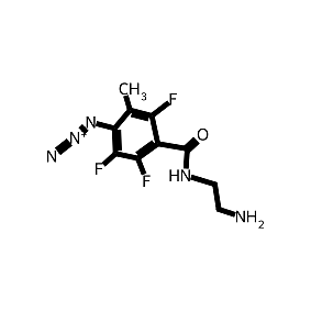 Cc1c(F)c(C(=O)NCCN)c(F)c(F)c1N=[N+]=[N-]